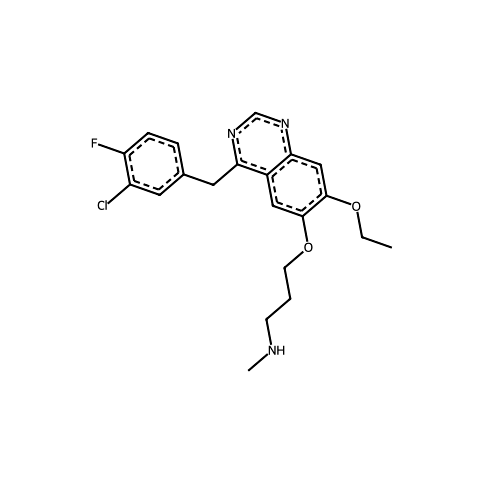 CCOc1cc2ncnc(Cc3ccc(F)c(Cl)c3)c2cc1OCCCNC